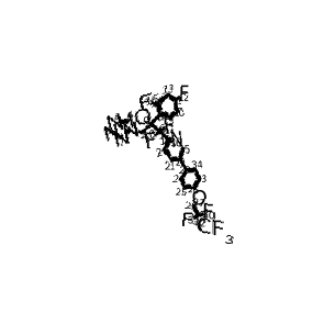 OC(Cn1cnnn1)(c1ccc(F)cc1F)C(F)(F)c1ccc(-c2ccc(OCC(F)(F)C(F)(F)F)cc2)cn1